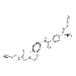 C#CCN=C(N)c1ccc(C(=O)Nc2ccc3c(c2)OCC(CC(=O)OCCO)C3)cc1